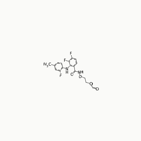 Cc1ccc(Nc2c(C(=O)NOCCOC=O)ccc(F)c2F)c(F)c1